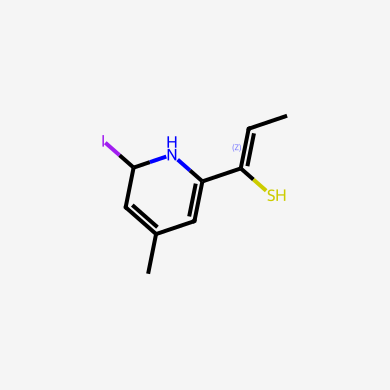 C/C=C(\S)C1=CC(C)=CC(I)N1